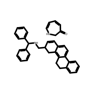 C1=CC(CNC(c2ccccc2)c2ccccc2)Cc2c1ccc1c2CCc2ccccc2-1.O=C1C=CC=CNC1